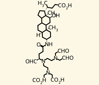 CC(CCC(=O)O)[C@H]1CCC2C3CC[C@@H]4C[C@@H](NC(=O)CC[C@H](C=O)N(CCN(CC=O)CC=O)CCN(CC(=O)O)CC(=O)O)CC[C@]4(C)C3C[C@H](O)[C@@]21C